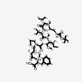 CC[C@H](C)[C@@H]([C@@H](CC(=O)N1CCC[C@H]1[C@H](OC)[C@@H](C)C(=O)N[C@@H](Cc1ccccc1)C(=O)O)OC)N(C)C(=O)[C@@H](NC(=O)[C@H](C(C)C)N(C)CCNC(=O)OC(C)(C)C)C(C)C